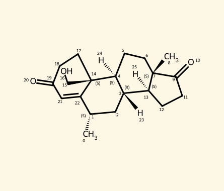 C[C@H]1C[C@@H]2[C@H](CC[C@]3(C)C(=O)CC[C@@H]23)[C@@]2(CO)CCC(=O)C=C12